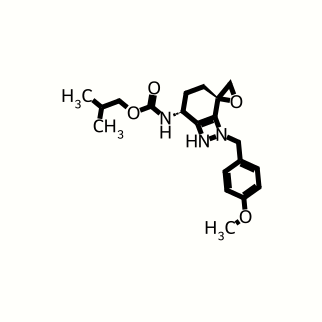 COc1ccc(Cn2[nH]c3c2[C@]2(CC[C@H]3NC(=O)OCC(C)C)CO2)cc1